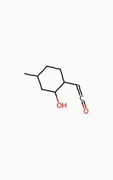 CC1CCC(C=C=O)C(O)C1